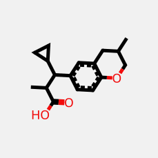 CC1COc2ccc(C(C3CC3)C(C)C(=O)O)cc2C1